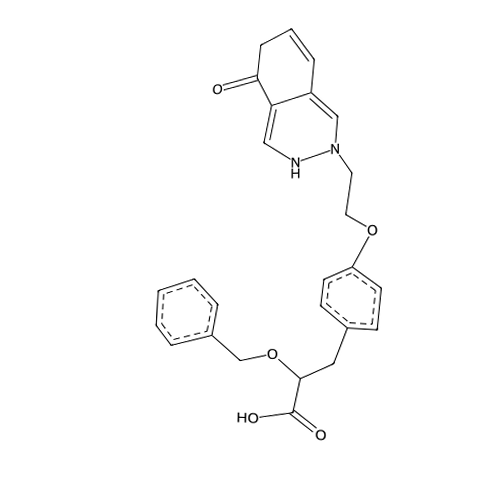 O=C1CC=CC2=CN(CCOc3ccc(CC(OCc4ccccc4)C(=O)O)cc3)NC=C12